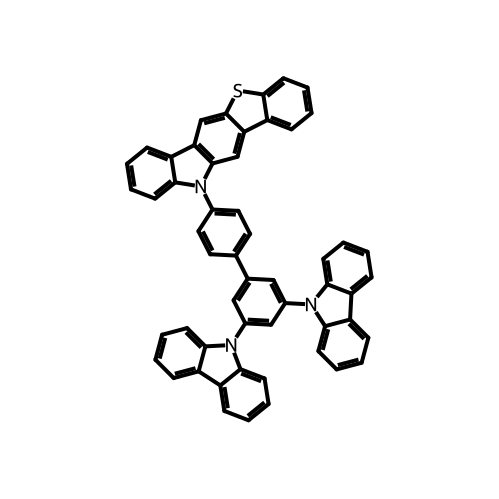 c1ccc2c(c1)sc1cc3c4ccccc4n(-c4ccc(-c5cc(-n6c7ccccc7c7ccccc76)cc(-n6c7ccccc7c7ccccc76)c5)cc4)c3cc12